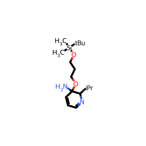 CC(C)C1N=CC=CC1(N)OCCCO[Si](C)(C)C(C)(C)C